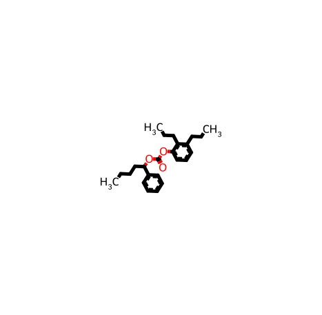 CCCCC(OC(=O)Oc1cccc(CCC)c1CCC)c1ccccc1